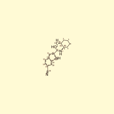 C[C@H]1CCCC[C@H]1NC(O)c1cc2ccc(C#N)cc2[nH]1